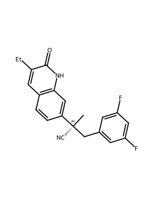 CCc1cc2ccc([C@](C)(C#N)Cc3cc(F)cc(F)c3)cc2[nH]c1=O